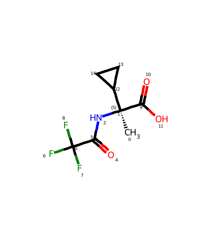 C[C@@](NC(=O)C(F)(F)F)(C(=O)O)C1CC1